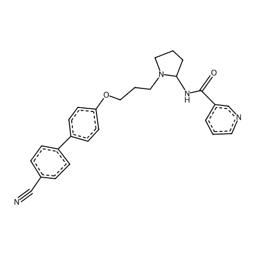 N#Cc1ccc(-c2ccc(OCCCN3CCCC3NC(=O)c3cccnc3)cc2)cc1